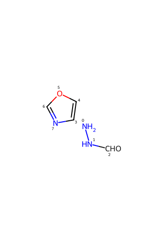 NNC=O.c1cocn1